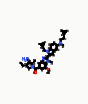 CC[C@@H]1CN(C(=O)c2cc(OC)c3c(c2)nc(-c2cc4cc(N(C)CCC5CC5)ccc4n2CC2CC2)n3C)[C@H](C)[C@H]1N